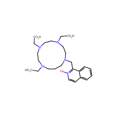 O=C(O)CN1CCCN(Cc2c3ccccc3cc[n+]2[O-])CCN(CC(=O)O)CCN(CC(=O)O)CC1